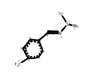 CC(C)(C)[S+]([O-])N=Cc1ccc(C(F)(F)F)cc1